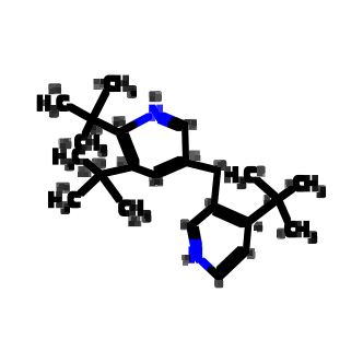 CC(C)(C)c1ccncc1Cc1cnc(C(C)(C)C)c(C(C)(C)C)c1